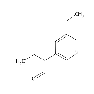 CCc1cccc(C(C=O)CC)c1